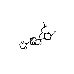 CN(C)CCCC1(c2ccc(F)cc2)OCC2C[C@]3(C4OCCO4)C=CC21O3